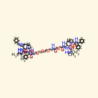 CN[C@@H](C)C(=O)N[C@@H]1C(=O)N2[C@@H](CC[C@@H]1CNC(=O)COCC(=O)NCCOCCOCCOCCNC(=O)[C@@H](NC(=O)[C@@H]1CC[C@@H]3CC[C@H](CNCc4ccccc4)[C@H](NC(=O)[C@H](C)NC)C(=O)N31)c1ccccc1)CC[C@H]2C(=O)NC(c1ccccc1)c1ccccc1